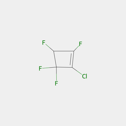 FC1=C(Cl)C(F)(F)C1F